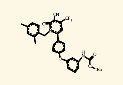 Cc1ccc(Cn2c(-c3ccc(Oc4cccc(NC(=O)OC(C)(C)C)c4)cc3)cc(C(F)(F)F)c(C#N)c2=O)c(C)c1